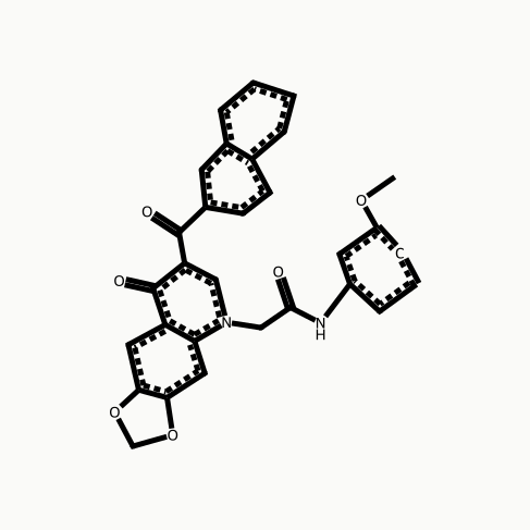 COc1cccc(NC(=O)Cn2cc(C(=O)c3ccc4ccccc4c3)c(=O)c3cc4c(cc32)OCO4)c1